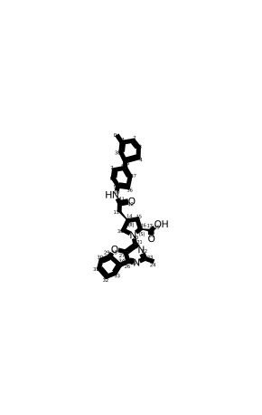 Cc1cccc(-c2ccc(NC(=O)C[C@H]3C[C@@H](C(=O)O)N(c4nc(C)nc5c4oc4ccccc45)C3)cc2)c1